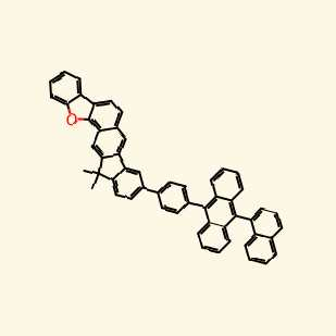 CC1(C)c2ccc(-c3ccc(-c4c5ccccc5c(-c5cccc6ccccc56)c5ccccc45)cc3)cc2-c2cc3ccc4c5ccccc5oc4c3cc21